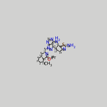 Cc1cccc2cc(Cn3nc(-c4ccc5nc(N)sc5c4)c4c(N)ncnc43)nc(OC(C)C)c12